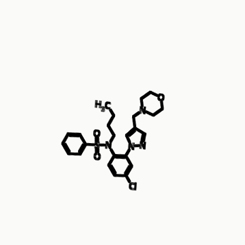 CCCCN(c1ccc(Cl)cc1-n1cc(CN2CCOCC2)cn1)S(=O)(=O)c1ccccc1